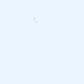 N#Cc1cccc2c1CCC2=C=O